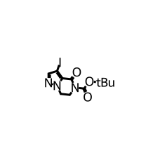 CC(C)(C)OC(=O)N1CCn2ncc(I)c2C1=O